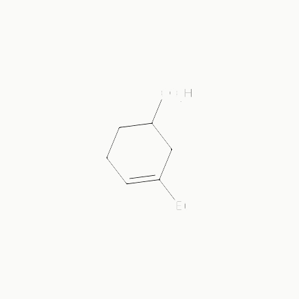 CCC1=CCCC(C(=O)O)C1